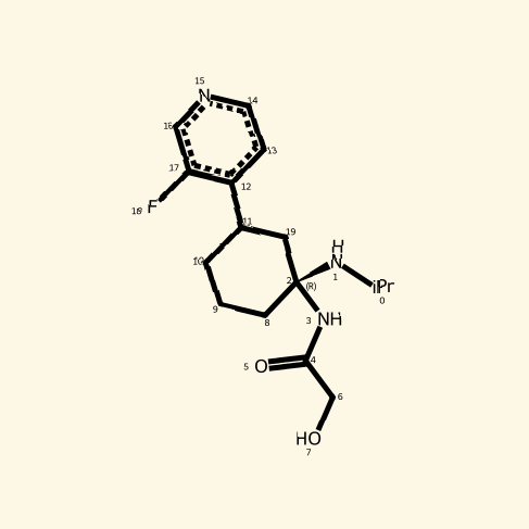 CC(C)N[C@@]1(NC(=O)CO)CCCC(c2ccncc2F)C1